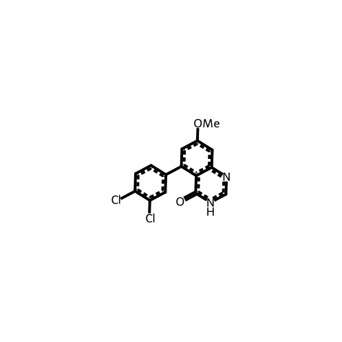 COc1cc(-c2ccc(Cl)c(Cl)c2)c2c(=O)[nH]cnc2c1